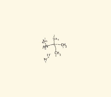 CC(C)(C)[NH][Zr+2].[H-].[H-]